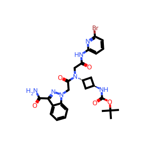 CC(C)(C)OC(=O)N[C@H]1C[C@H](N(CC(=O)Nc2cccc(Br)n2)C(=O)Cn2nc(C(N)=O)c3ccccc32)C1